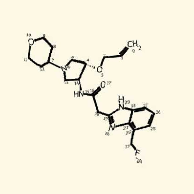 C=CCO[C@H]1CN(C2CCOCC2)C[C@@H]1NC(=O)Cc1nc2c(CF)cccc2[nH]1